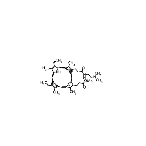 C=CC1=C(C)/C2=C/c3[nH]c(c(C)c3C=C)/C=C3N=C(/C=c4\[nH]/c(c(C)c4CCC(=O)NCCN(C)C)=C\C1N2)C(CCC(=O)OC)C\3C